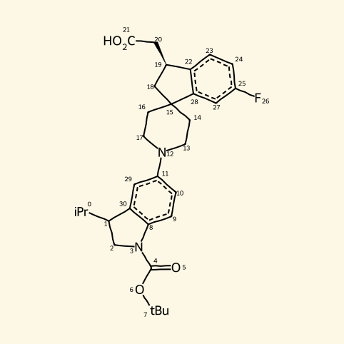 CC(C)C1CN(C(=O)OC(C)(C)C)c2ccc(N3CCC4(CC3)C[C@@H](CC(=O)O)c3ccc(F)cc34)cc21